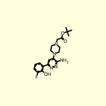 CC(C)(C)OC(=O)CN1CCN(c2cc(-c3cccc(F)c3O)nnc2N)CC1